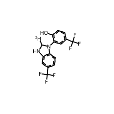 [2H]C1Nc2cc(C(F)(F)F)ccc2N1c1cc(C(F)(F)F)ccc1O